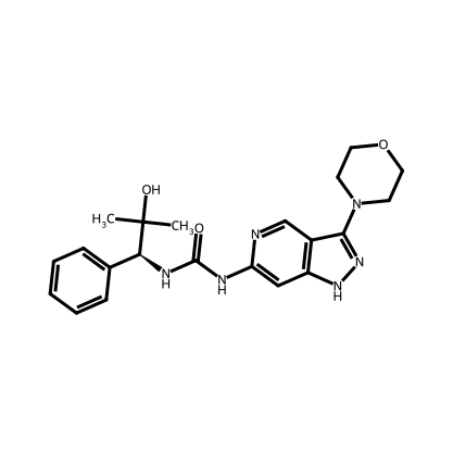 CC(C)(O)[C@@H](NC(=O)Nc1cc2[nH]nc(N3CCOCC3)c2cn1)c1ccccc1